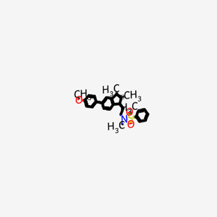 COc1ccc(-c2ccc3c(c2)C(C)[C@@H](C)C3CCN(C)S(=O)(=O)c2ccccc2C)cc1